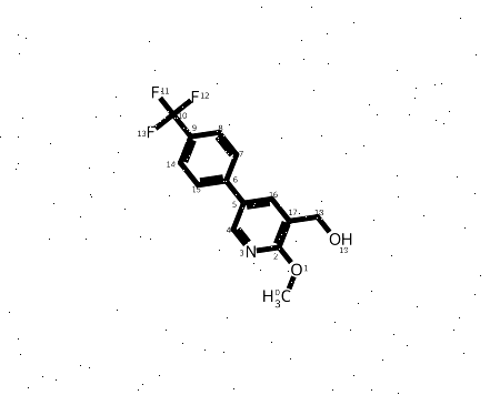 COc1ncc(-c2ccc(C(F)(F)F)cc2)cc1CO